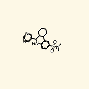 CN(C)S(=O)(=O)c1ccc2c(c1)C1CCCCC1C(c1cncnc1)N2